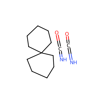 C1CCC2(CC1)CCCCC2.N=C=O.N=C=O